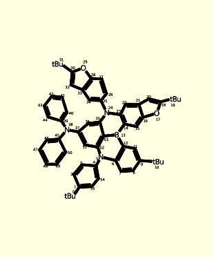 CC(C)(C)c1ccc(N2c3ccc(C(C)(C)C)cc3B3c4cc5oc(C(C)(C)C)cc5cc4N(c4ccc5oc(C(C)(C)C)cc5c4)c4cc(N(c5ccccc5)c5ccccc5)cc2c43)cc1